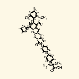 COC(=O)C1=C(CN2CCN3C(=O)N(c4ccc(-c5ccc(C(C)(C)C(=O)O)cc5)nc4)CC3C2)NC(c2nccs2)=NC1c1ccc(F)cc1Cl